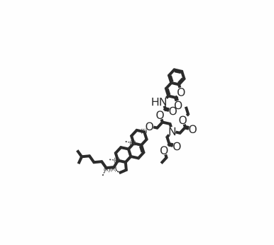 CCOC(=O)CN(CC(=O)OCC)CC(CO[C@H]1CC[C@@]2(C)C(=CCC3C2CC[C@@]2(C)C3CC[C@@H]2[C@H](C)CCCC(C)C)C1)OC(=O)Nc1cc2ccccc2oc1=O